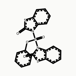 O=c1sc2ccccc2n1P(=O)(Oc1ccccc1)n1c(=O)sc2ccccc21